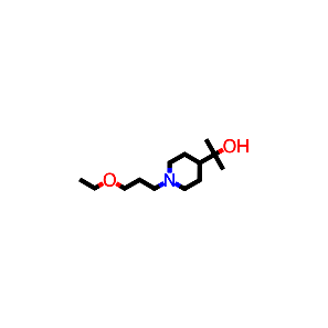 CCOCCCN1CCC(C(C)(C)O)CC1